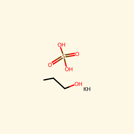 CCCO.O=S(=O)(O)O.[KH]